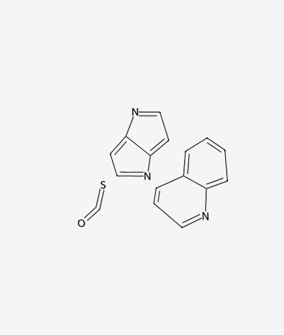 C1=NC2=CC=NC2=C1.O=C=S.c1ccc2ncccc2c1